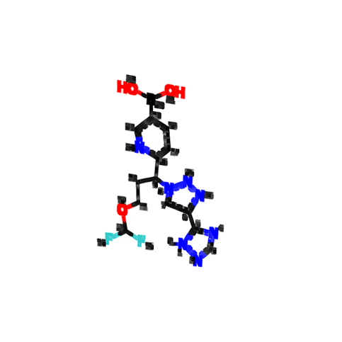 Cn1ncnc1-c1cn(C(CCOC(F)F)c2ccc(B(O)O)cn2)nn1